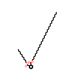 CCCCCCCCCCCCCCCCCCCCCCCCCCCCCCCCCOC(=O)c1ccccc1C(=O)OCCCCCCCCCC